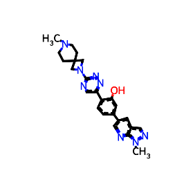 CN1CCC2(CC1)CN(c1ncc(-c3ccc(-c4cnc5c(cnn5C)c4)cc3O)nn1)C2